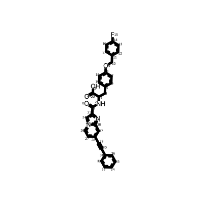 O=C(NC(Cc1ccc(OCc2ccc(F)cc2)cc1)C(=O)O)c1cn2ccc(C#Cc3ccccc3)cc2n1